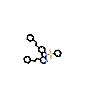 O=S(=O)(c1ccccc1)n1c2ccc(C=Cc3ccccc3)cc2c2c(C=Cc3ccccc3)ccnc21